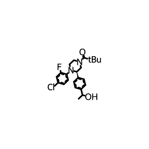 CC(O)c1ccc([C@@H]2CN(C(=O)C(C)(C)C)CCN2c2ccc(Cl)cc2F)cc1